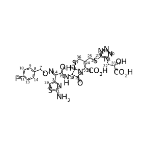 Nc1nc(/C(=N\OCc2ccc(F)cc2)C(=O)NC2C(=O)N3C(C(=O)O)=C(CSc4nnnn4CC(O)C(=O)O)CS[C@H]23)cs1